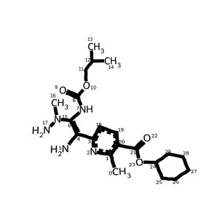 Cc1nc(/C(N)=C(\NC(=O)OCC(C)C)N(C)N)ccc1C(=O)OC1CCCCC1